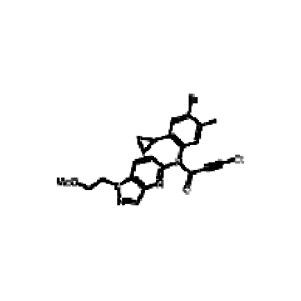 CCC#CC(=O)N(c1ccc2c(cnn2CCOC)n1)c1cc(C)c(Br)cc1C1CC1